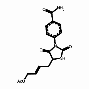 CC(=O)OC/C=C/CC1NC(=O)N(c2ccc(C(N)=O)cc2)C1=O